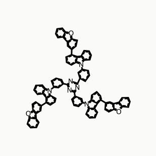 c1cc(-c2nc(-c3cccc(-n4c5ccccc5c5c(-c6ccc7oc8ccccc8c7c6)cccc54)c3)nc(-c3cccc(-n4c5ccccc5c5c(-c6ccc7oc8ccccc8c7c6)cccc54)c3)n2)cc(-n2c3ccccc3c3c(-c4ccc5oc6ccccc6c5c4)cccc32)c1